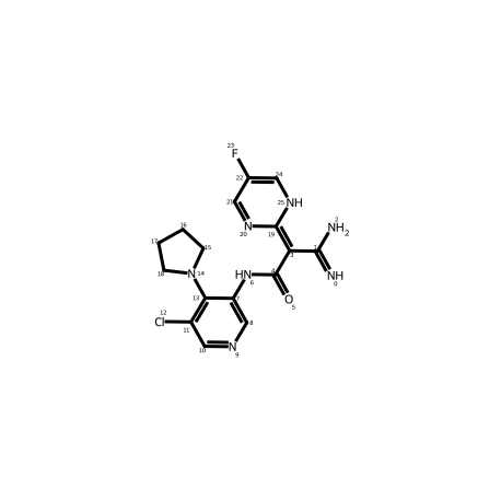 N=C(N)/C(C(=O)Nc1cncc(Cl)c1N1CCCC1)=C1/N=CC(F)=CN1